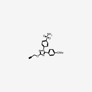 C#CCOc1nc(-c2ccc(OC)cc2)n(-c2ccc(S(N)(=O)=O)cc2)n1